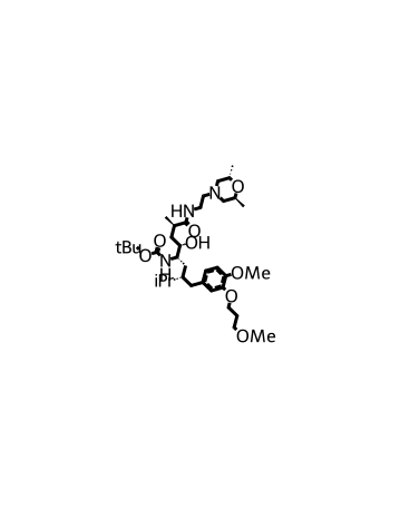 COCCCOc1cc(C[C@@H](C[C@H](NC(=O)OC(C)(C)C)[C@@H](O)C[C@@H](C)C(=O)NCCN2C[C@H](C)O[C@@H](C)C2)C(C)C)ccc1OC